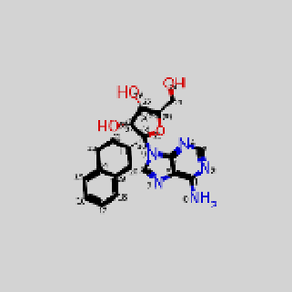 Nc1ncnc2c1ncn2[C@]1(C2CCc3ccccc3C2)O[C@H](CO)[C@@H](O)[C@H]1O